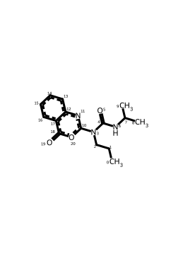 CCCN(C(=O)NC(C)C)c1nc2ccccc2c(=O)o1